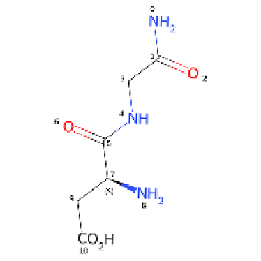 NC(=O)CNC(=O)[C@@H](N)CC(=O)O